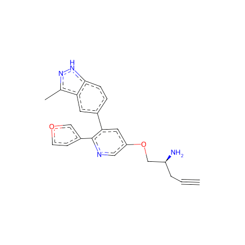 C#CC[C@H](N)COc1cnc(-c2ccoc2)c(-c2ccc3[nH]nc(C)c3c2)c1